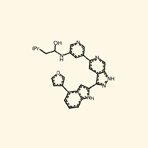 CC(C)CC(O)Nc1cncc(-c2cc3c(-c4cc5c(-c6ccoc6)cccc5[nH]4)n[nH]c3cn2)c1